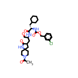 CC(=O)N1CCC2(CC1)CC(CC(C=O)NC(=O)[C@H](CC1CCCCC1)NC(=O)OCc1cccc(Cl)c1)C(=O)N2